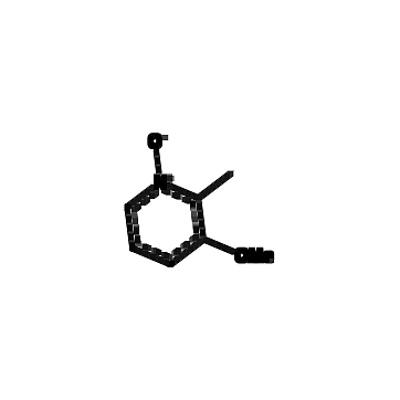 COc1ccc[n+]([O-])c1C